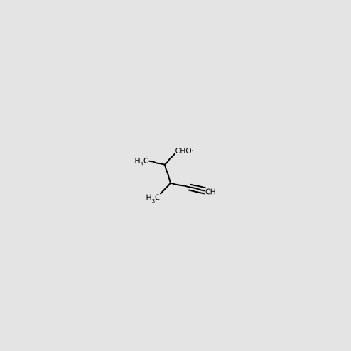 C#CC(C)C(C)[C]=O